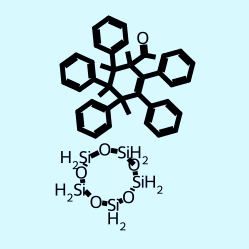 CC(=O)C1(C)C(c2ccccc2)=C(c2ccccc2)C(C)(c2ccccc2)C(C)(c2ccccc2)C1(C)c1ccccc1.O1[SiH2]O[SiH2]O[SiH2]O[SiH2]O[SiH2]1